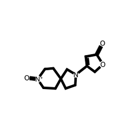 O=C1C=C(N2CCC3(CC[N+](=O)CC3)C2)CO1